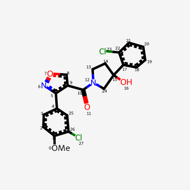 COc1ccc(-c2nocc2C(=O)N2CCC(O)(c3ccccc3Cl)C2)cc1Cl